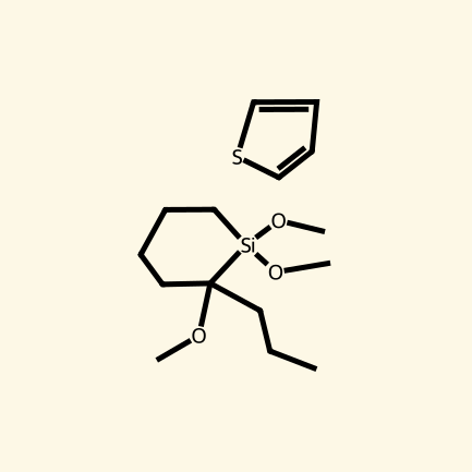 CCCC1(OC)CCCC[Si]1(OC)OC.c1ccsc1